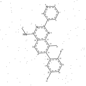 CNc1nc(-c2cccnc2)nc2c(C)c(-c3cc(F)ccc3F)ccc12